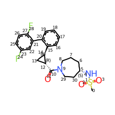 CS(=O)(=O)N[C@H]1CCCN(C(=O)[C@@H]2C[C@H]2c2ccccc2-c2cc(F)ccc2F)CC1